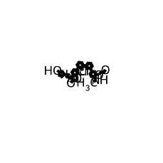 CNc1ccc(-c2cccc(-c3cccc(-c4ccc5c(c4)OCC(=O)N5CCN4CCC(O)C4)c3Cl)c2Cl)cc1OCC=O